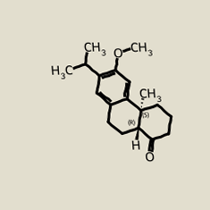 COc1cc2c(cc1C(C)C)CC[C@H]1C(=O)CCC[C@]21C